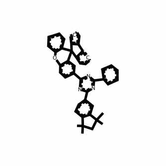 CC1(C)CC(C)(C)c2cc(-c3nc(-c4ccccc4)nc(-c4ccc5c(c4)C4(c6ccccc6O5)c5ccccc5-c5ccccc54)n3)ccc21